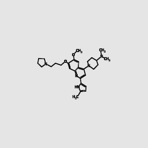 COc1cc2c(N3CCC(N(C)C)CC3)cc(-c3ccc(C)[nH]3)nc2cc1OCCCN1CCCC1